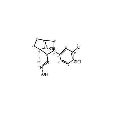 CN1C2CC[C@@H]1[C@H](C=NO)[C@@H](c1ccc(Cl)c(Cl)c1)C2